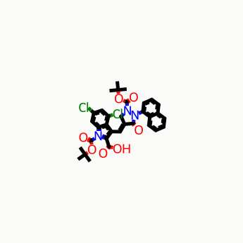 CC(C)(C)OC(=O)N1CC(=Cc2c(C(=O)O)n(C(=O)OC(C)(C)C)c3cc(Cl)cc(Cl)c23)C(=O)N1c1cccc2ccccc12